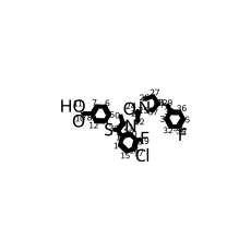 Cc1c(Sc2cccc(C(=O)O)c2)c2ccc(Cl)c(F)c2n1CC(=O)N1CC[C@H](Cc2ccc(F)cc2)C1